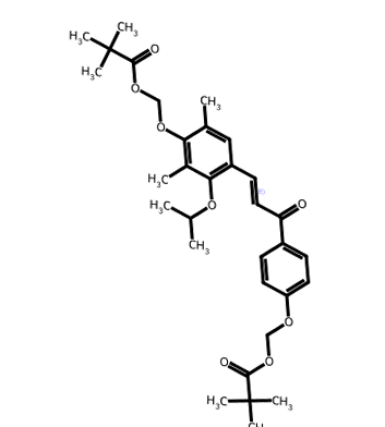 Cc1cc(/C=C/C(=O)c2ccc(OCOC(=O)C(C)(C)C)cc2)c(OC(C)C)c(C)c1OCOC(=O)C(C)(C)C